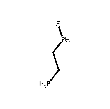 FPCCP